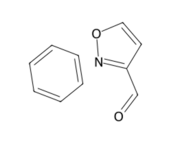 O=Cc1ccon1.c1ccccc1